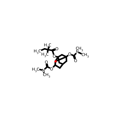 CCC(C)(C)C(=O)OC12CC3CC(OC(=O)N(C)C)(CC(OC(=O)N(C)C)(C3)C1)C2